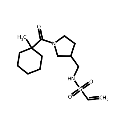 C=CS(=O)(=O)NCC1CCN(C(=O)C2(C)CCCCC2)C1